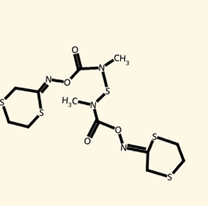 CN(SN(C)C(=O)ON=C1CSCCS1)C(=O)ON=C1CSCCS1